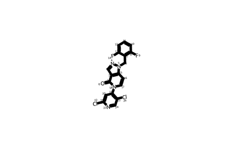 O=c1c2cnn(Cc3c(F)cccc3F)c2ccn1-c1cc(Cl)ncc1Cl